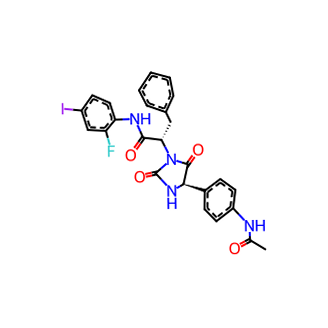 CC(=O)Nc1ccc([C@H]2NC(=O)N([C@@H](Cc3ccccc3)C(=O)Nc3ccc(I)cc3F)C2=O)cc1